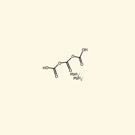 O=C(O)OC(=O)OC(=O)O.[PbH2].[PbH2]